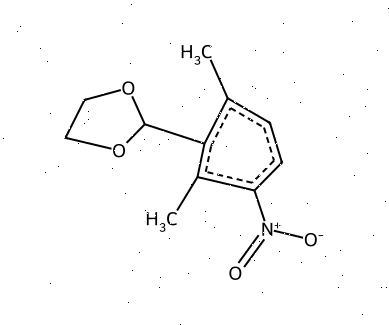 Cc1ccc([N+](=O)[O-])c(C)c1C1OCCO1